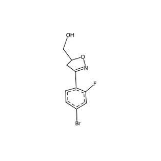 OCC1CC(c2ccc(Br)cc2F)=NO1